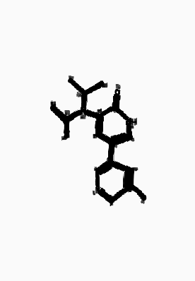 Cc1cncc(-c2c[nH]c(=O)c(N(C(C)C)C(C)C)c2)c1